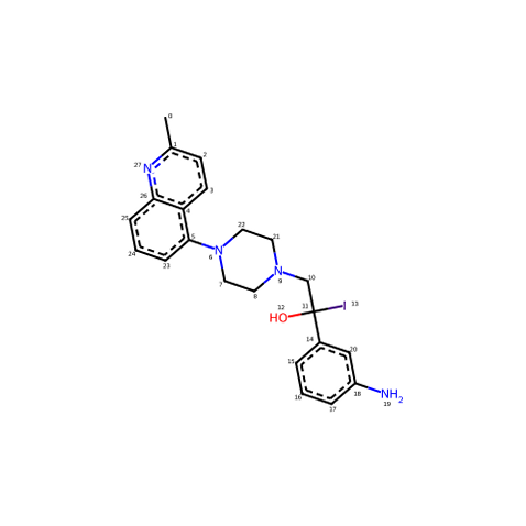 Cc1ccc2c(N3CCN(CC(O)(I)c4cccc(N)c4)CC3)cccc2n1